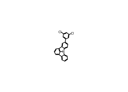 Clc1cc(Cl)cc(-c2ccc3c(c2)c2cccc4c5ccccc5n3c42)c1